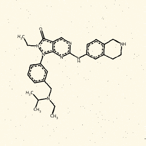 CCN(Cc1cccc(-n2c3nc(Nc4ccc5c(c4)CCNC5)ncc3c(=O)n2CC)c1)C(C)C